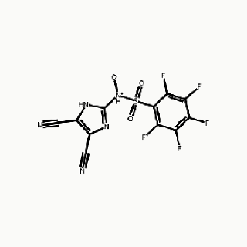 N#Cc1nc([NH+]([O-])S(=O)(=O)c2c(F)c(F)c(F)c(F)c2F)[nH]c1C#N